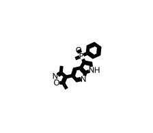 Cc1noc(C)c1-c1cnc2[nH]cc(P(C)(=O)c3ccccc3)c2c1